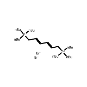 CCCC[P+](C/C=C/C=C/C[P+](CCCC)(CCCC)CCCC)(CCCC)CCCC.[Br-].[Br-]